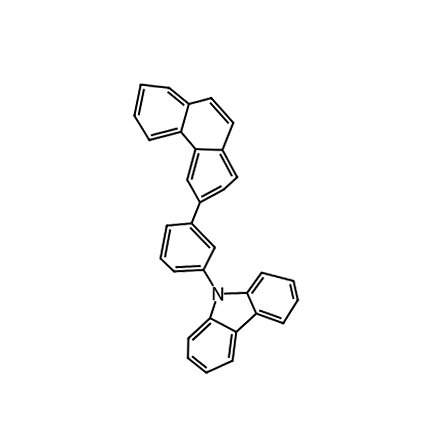 c1cc(-c2ccc3ccc4ccccc4c3c2)cc(-n2c3ccccc3c3ccccc32)c1